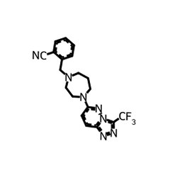 N#Cc1ccccc1CN1CCCN(c2ccc3nnc(C(F)(F)F)n3n2)CC1